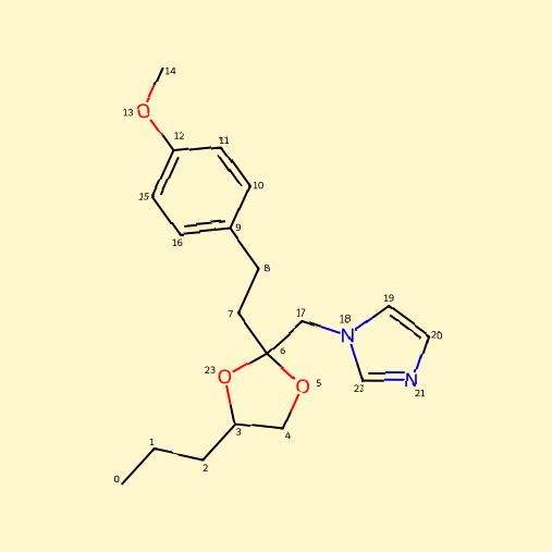 CCCC1COC(CCc2ccc(OC)cc2)(Cn2ccnc2)O1